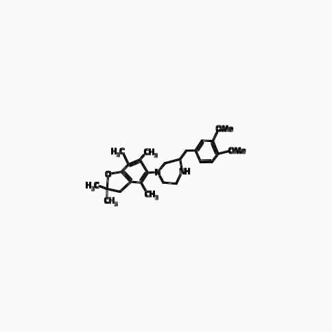 COc1ccc(CC2CN(c3c(C)c(C)c4c(c3C)CC(C)(C)O4)CCN2)cc1OC